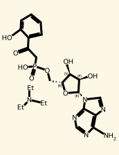 CCN(CC)CC.Nc1ncnc2c1ncn2[C@@H]1O[C@H](COP(=O)(O)CC(=O)c2ccccc2O)[C@@H](O)[C@H]1O